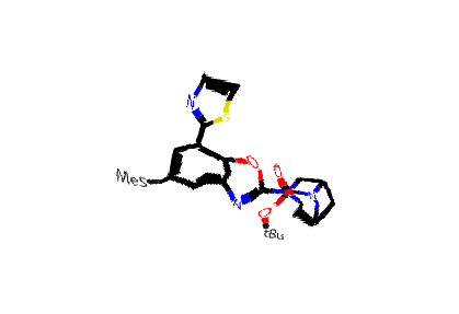 CSc1cc(-c2nccs2)c2oc(N3CC4CC(C3)N4C(=O)OC(C)(C)C)nc2c1